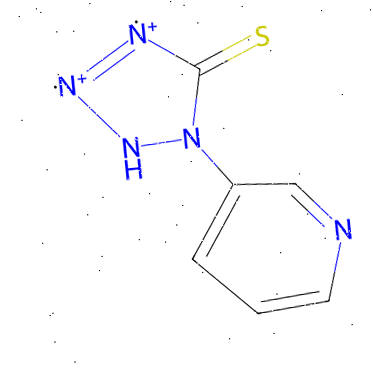 S=C1[N+]=[N+]NN1c1cccnc1